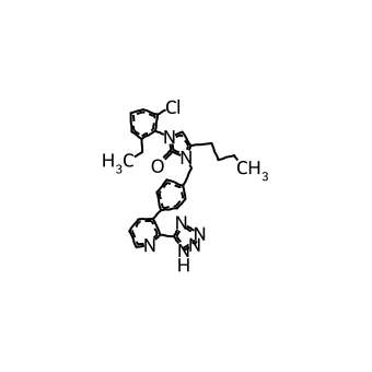 CCCCc1cn(-c2c(Cl)cccc2CC)c(=O)n1Cc1ccc(-c2cccnc2-c2nnn[nH]2)cc1